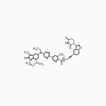 CCN(c1cnc(-c2cnc(C(=O)NCC#Cc3ccc4occ(C5CCC(=O)NC5=O)c4c3)c(C)c2)nc1)c1cc(C(C)C)c2c(c1)n(C)c(=O)n2C